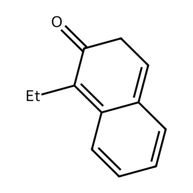 CCC1=c2ccccc2=CCC1=O